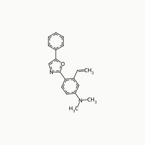 C=Cc1cc(N(C)C)ccc1-c1ncc(-c2ccccc2)o1